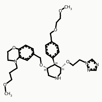 COCCCN1CCOc2ccc(CO[C@H]3CNC[C@@H](OCCn4cncn4)[C@@H]3c3ccc(COCCOC)cc3)cc21